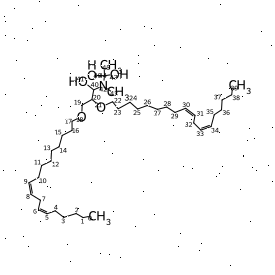 CCCCC/C=C\C/C=C\CCCCCCCCOCC(OCCCCCCCC/C=C\C/C=C\CCCCC)C(O)N(C)C(C)(O)O